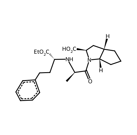 CCOC(=O)[C@@H](CCc1ccccc1)N[C@H](C)C(=O)N1[C@@H](C(=O)O)C[C@@H]2CCC[C@@H]21